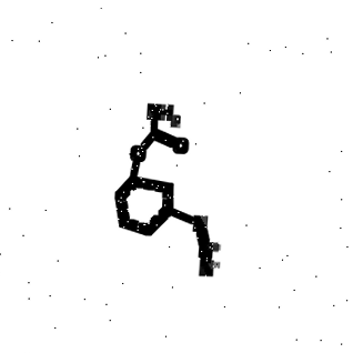 [N-]=[N+]=Nc1cccc(OC(N)=O)c1